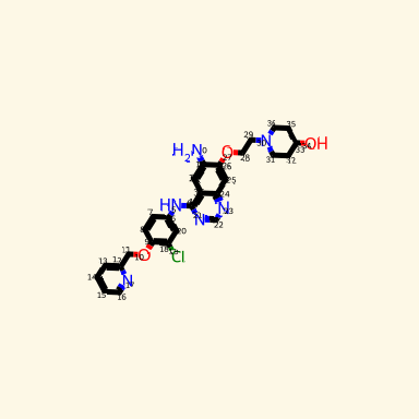 Nc1cc2c(Nc3ccc(OCc4ccccn4)c(Cl)c3)ncnc2cc1OCCN1CCC(O)CC1